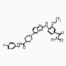 CCN(CC)C(=O)c1ccc(Nc2nc3ccc(N4CCN(C(=O)NCc5ccc(F)cc5)CC4)cn3n2)c(OCC(F)(F)F)c1